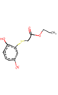 CCOC(=O)CSc1cc(O)ccc1O